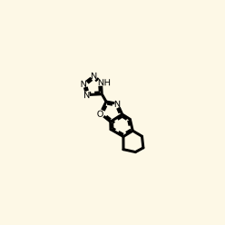 c1c2c(cc3oc(-c4nnn[nH]4)nc13)CCCC2